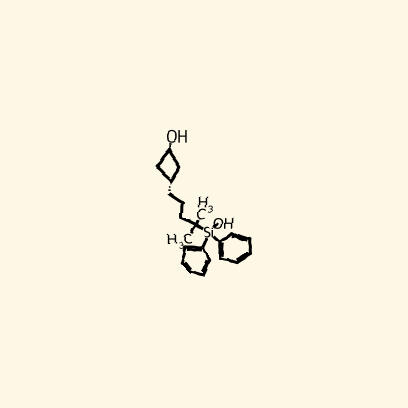 CC(C)(CCC[C@H]1C[C@@H](O)C1)[Si](O)(c1ccccc1)c1ccccc1